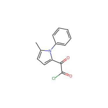 Cc1ccc(C(=O)C(=O)Cl)n1-c1ccccc1